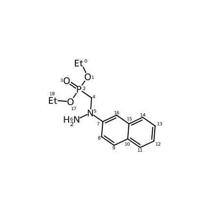 CCOP(=O)(CN(N)c1ccc2ccccc2c1)OCC